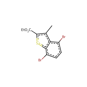 CCOC(=O)c1sc2c(Br)ccc(Br)c2c1C